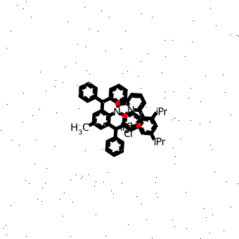 Cc1cc(C(c2ccccc2)c2ccccc2)c(N2C=C3C=CC=C(c4c(C(C)C)cc(C(C)C)cc4C(C)C)N3[CH]2[Ag][Cl])c(C(c2ccccc2)c2ccccc2)c1